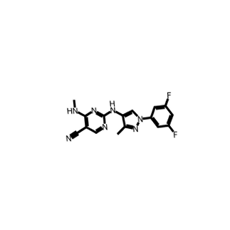 CNc1nc(Nc2cn(-c3cc(F)cc(F)c3)nc2C)ncc1C#N